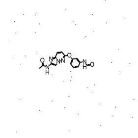 CC(=O)Nc1cn2nc(Oc3cccc(NC=O)c3)ccc2n1